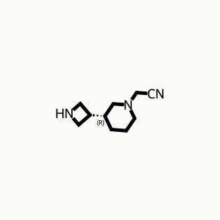 N#CCN1CCC[C@H](C2CNC2)C1